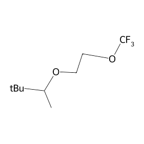 CC(OCCOC(F)(F)F)C(C)(C)C